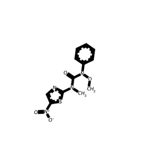 CON(C(=O)N(C)c1ncc([N+](=O)[O-])s1)c1ccccc1